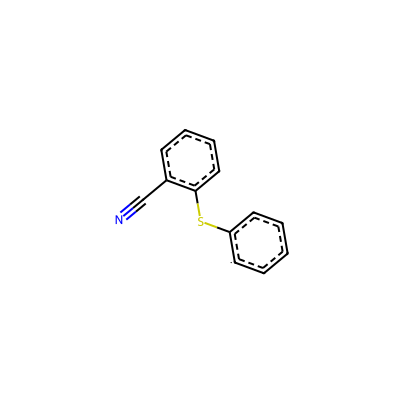 N#Cc1ccccc1Sc1[c]cccc1